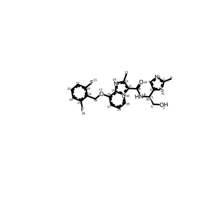 Cc1ncc([C@@H](CO)NC(=O)c2c(C)nc3c(OCc4c(F)cccc4F)cccn23)s1